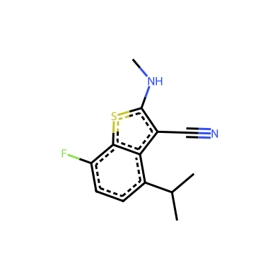 CNc1sc2c(F)ccc(C(C)C)c2c1C#N